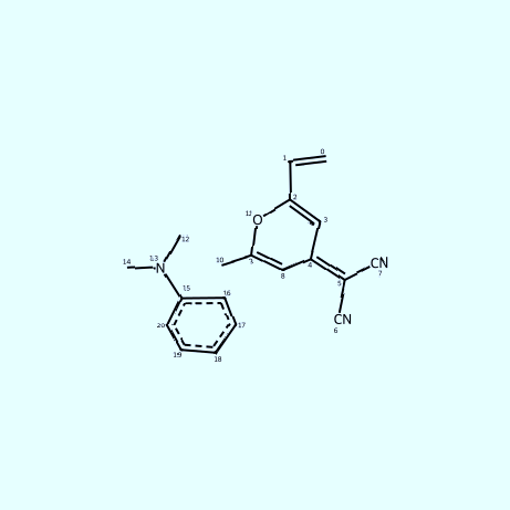 C=CC1=CC(=C(C#N)C#N)C=C(C)O1.CN(C)c1ccccc1